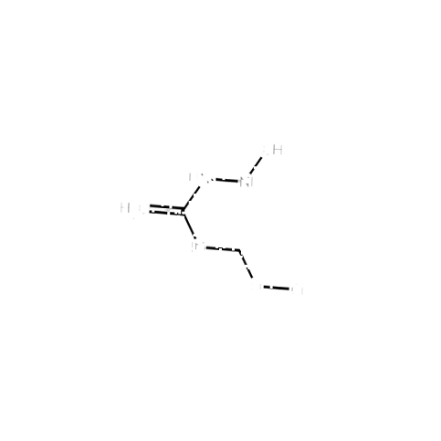 C=C(NCOC)NNC